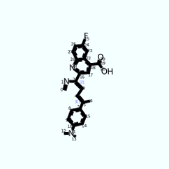 C=N/C(=C\C=C(/C)c1ccc(N(C)C)cc1)c1cc(C(=O)O)c2cc(F)ccc2n1